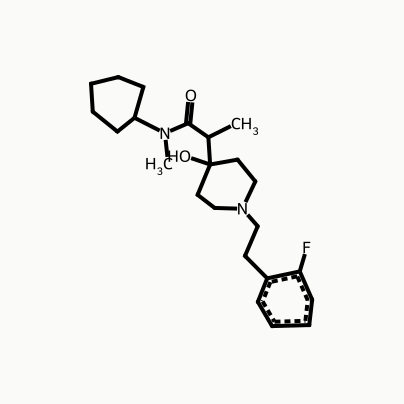 CC(C(=O)N(C)C1CCCCC1)C1(O)CCN(CCc2ccccc2F)CC1